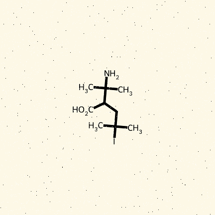 CC(C)(I)CC(C(=O)O)C(C)(C)N